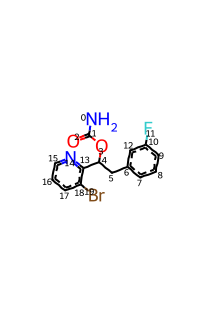 NC(=O)OC(Cc1cccc(F)c1)c1ncccc1Br